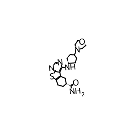 NC(=O)[C@@H]1CCc2sc3ncnc(NC4CCC(N5CCOCC5)CC4)c3c2C1